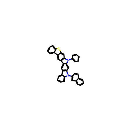 c1ccc(-n2c3cc4sc5ccccc5c4cc3c3cc4c5ccccc5n(-c5ccc6ccccc6c5)c4cc32)cc1